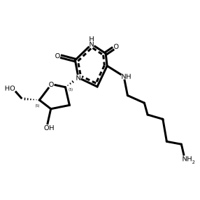 NCCCCCCNc1cn([C@@H]2CC(O)[C@H](CO)O2)c(=O)[nH]c1=O